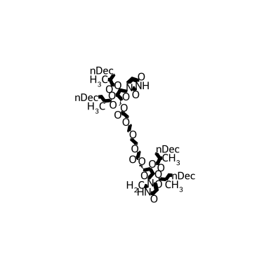 C=C1NC(=O)C=CN1[C@@H]1O[C@H](COC(=O)COCCOCCOCC(=O)OC[C@H]2O[C@@H](n3ccc(=O)[nH]c3=O)[C@@H](OC(=O)C(C)CCCCCCCCCCC)C2OC(=O)C(C)CCCCCCCCCCC)C(OC(=O)C(C)CCCCCCCCCCC)[C@@H]1OC(=O)C(C)CCCCCCCCCCC